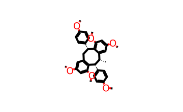 COc1ccc([C@H]2Cc3cc(OC)cc(OC)c3[C@@H](c3ccc(OC)cc3)[C@@H](C)c3cc(OC)cc(OC)c32)cc1